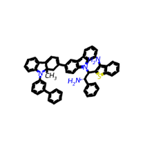 CC12CC(c3ccc4c(c3)c3ccccc3n4C(c3sc4ccccc4c3N)[C@@H](N)c3ccccc3)=CC=C1c1ccccc1N2c1cccc(-c2ccccc2)c1